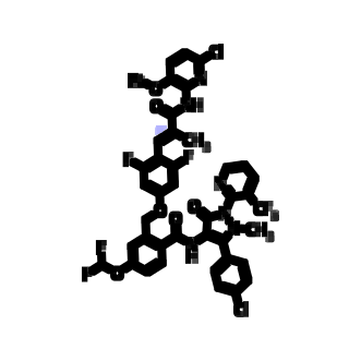 CCOc1ccc(Cl)nc1NC(=O)/C(C)=C/c1c(F)cc(OCc2cc(OC(F)F)ccc2C(=O)Nc2c(-c3ccc(Cl)cc3)n(C)n(-c3ncccc3C(F)(F)F)c2=O)cc1F